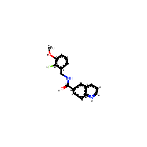 CCCCOc1cccc(CNC(=O)c2ccc3ncccc3c2)c1F